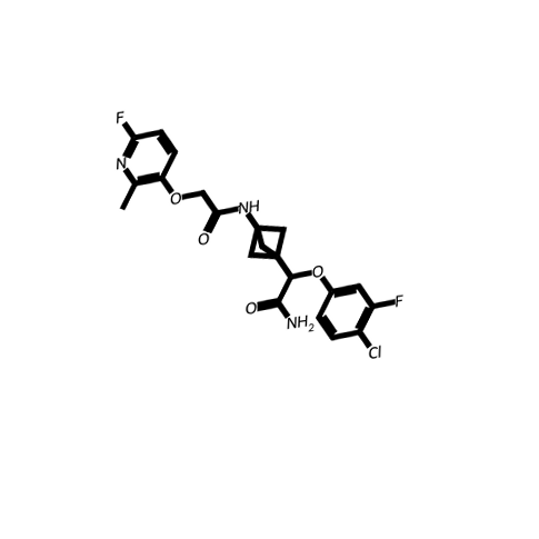 Cc1nc(F)ccc1OCC(=O)NC12CC(C(Oc3ccc(Cl)c(F)c3)C(N)=O)(C1)C2